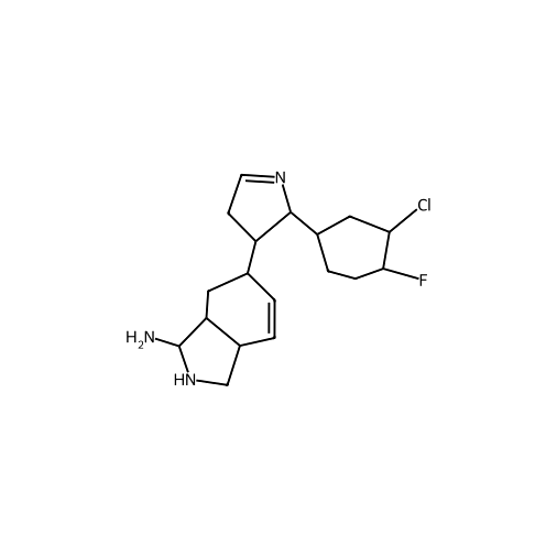 NC1NCC2C=CC(C3CC=NC3C3CCC(F)C(Cl)C3)CC21